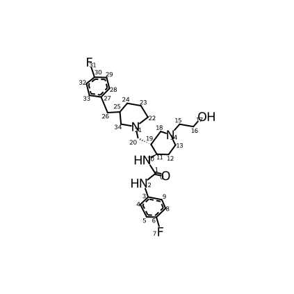 O=C(Nc1ccc(F)cc1)N[C@@H]1CCN(CCO)C[C@H]1CN1CCCC(Cc2ccc(F)cc2)C1